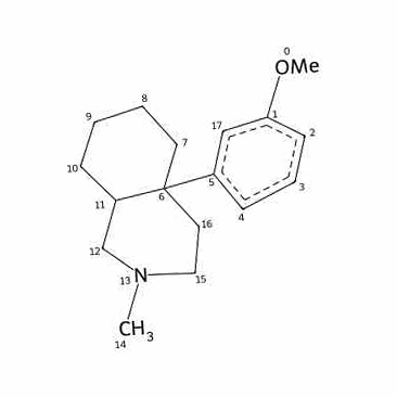 COc1cccc(C23CCCCC2CN(C)CC3)c1